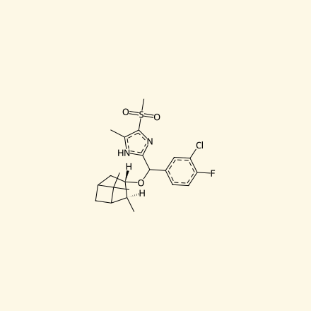 Cc1[nH]c(C(O[C@H]2CC3CC([C@@H]2C)C3(C)C)c2ccc(F)c(Cl)c2)nc1S(C)(=O)=O